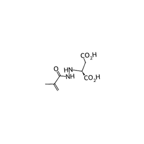 C=C(C)C(=O)NN[C@@H](CC(=O)O)C(=O)O